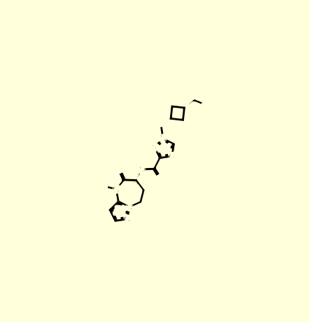 CC[C@H]1C[C@H](Cn2cnc(C(=O)N[C@H]3CCn4nccc4N(C)C3=O)n2)C1